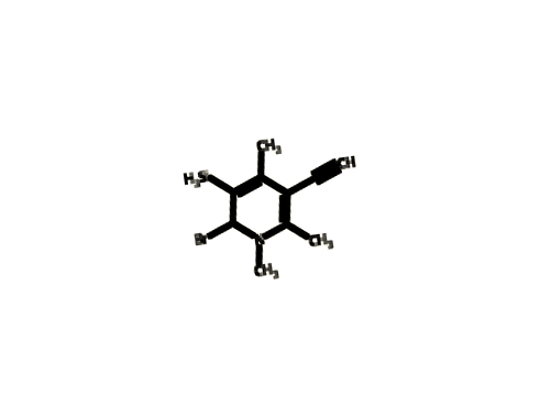 C#CC1=C(C)N(C)C(Br)C([SiH3])=C1C